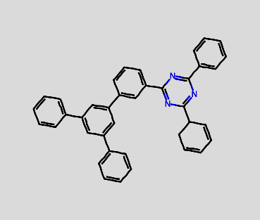 C1=CCC(c2nc(-c3ccccc3)nc(-c3cccc(-c4cc(-c5ccccc5)cc(-c5ccccc5)c4)c3)n2)C=C1